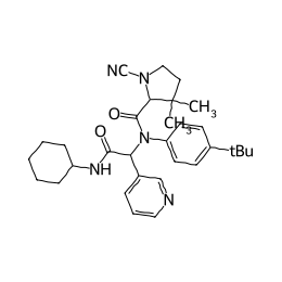 CC(C)(C)c1ccc(N(C(=O)C2N(C#N)CCC2(C)C)C(C(=O)NC2CCCCC2)c2cccnc2)cc1